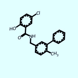 Cc1ccc(CNC(=O)c2cc(Cl)ccc2O)cc1-c1ccccc1